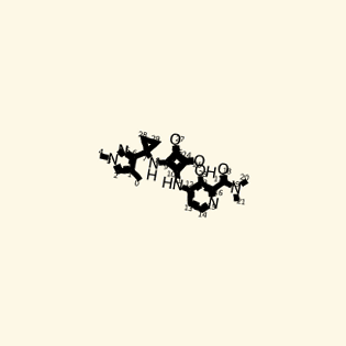 Cc1cn(C)nc1C1(Nc2c(Nc3ccnc(C(=O)N(C)C)c3O)c(=O)c2=O)CC1